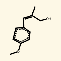 COc1ccc(C=C(C)CO)cc1